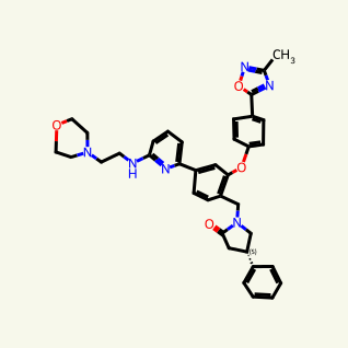 Cc1noc(-c2ccc(Oc3cc(-c4cccc(NCCN5CCOCC5)n4)ccc3CN3C[C@H](c4ccccc4)CC3=O)cc2)n1